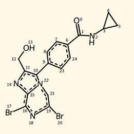 O=C(NC1CC1)c1ccc(-c2c(CO)nc3c(Br)nc(Br)cn23)cc1